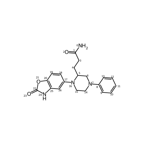 NC(=O)CCC1CN(c2ccccc2)CCN1c1ccc2oc(=O)[nH]c2c1